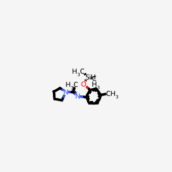 CC(=Nc1ccc(C)cc1O[SiH](C)C)N1CCCC1